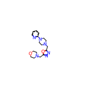 c1ccc(N2CCN(Cc3nnc(CN4CCOCC4)o3)CC2)nc1